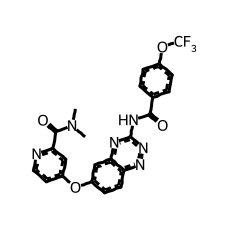 CN(C)C(=O)c1cc(Oc2ccc3nnc(NC(=O)c4ccc(OC(F)(F)F)cc4)nc3c2)ccn1